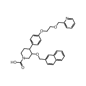 O=C(O)N1CCC(c2ccc(OCCOCc3ccccn3)cc2)C(OCc2ccc3ccccc3c2)C1